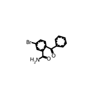 NC(=O)c1cc(Br)ccc1C(=O)c1ccccc1